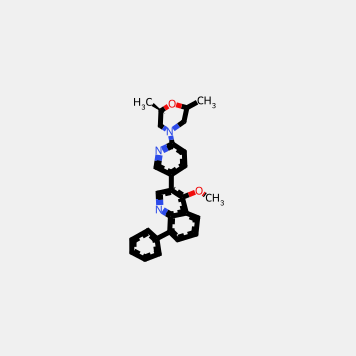 COc1c(-c2ccc(N3CC(C)O[C@H](C)C3)nc2)cnc2c(-c3ccccc3)cccc12